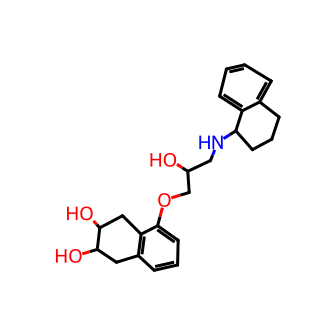 OC(CNC1CCCc2ccccc21)COc1cccc2c1CC(O)C(O)C2